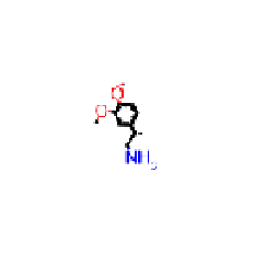 COc1ccc([CH]CN)cc1OC